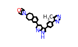 Cc1cncnc1-c1ccc(-c2c[nH]c3ncc(-c4ccc5c(c4)CC[C@@H](N4C6COCC4C6)CC5)cc23)cc1